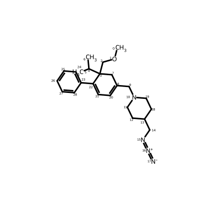 COCC1(C(C)C)CC(CN2CCC(CN=[N+]=[N-])CC2)=CC=C1c1ccccc1